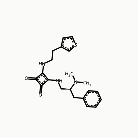 CN(C)[C@H](CNc1c(NCCc2ccsc2)c(=O)c1=O)Cc1ccccc1